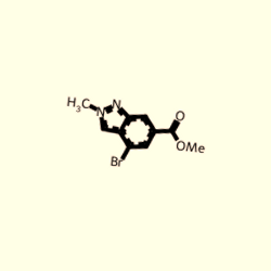 COC(=O)c1cc(Br)c2cn(C)nc2c1